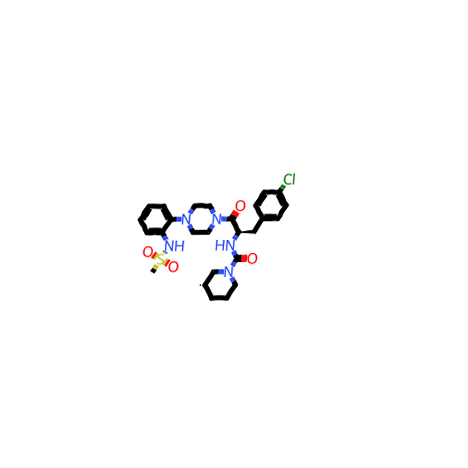 CS(=O)(=O)Nc1ccccc1N1CCN(C(=O)[C@@H](Cc2ccc(Cl)cc2)NC(=O)N2C[CH]CCC2)CC1